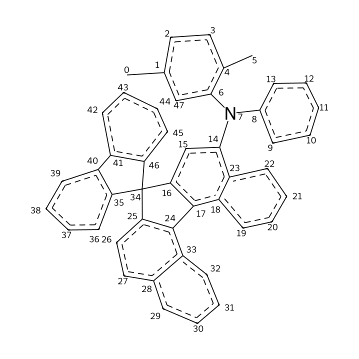 Cc1ccc(C)c(N(c2ccccc2)c2cc3c(c4ccccc24)-c2c(ccc4ccccc24)C32c3ccccc3-c3ccccc32)c1